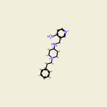 Nc1ccncc1CNC1CCN(CCc2ccccc2)CC1